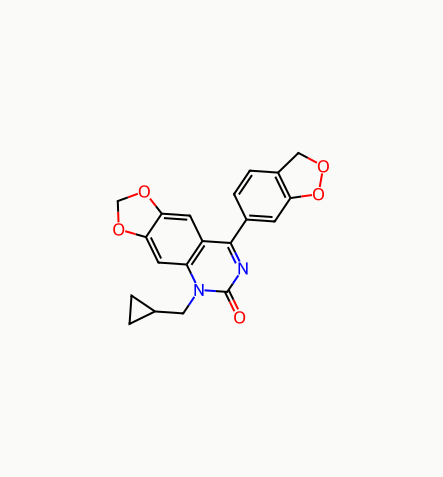 O=c1nc(-c2ccc3c(c2)OOC3)c2cc3c(cc2n1CC1CC1)OCO3